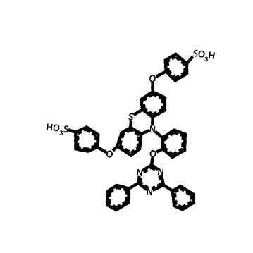 O=S(=O)(O)c1ccc(Oc2ccc3c(c2)Sc2cc(Oc4ccc(S(=O)(=O)O)cc4)ccc2N3c2ccccc2Oc2nc(-c3ccccc3)nc(-c3ccccc3)n2)cc1